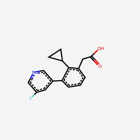 O=C(O)Cc1cccc(-c2cncc(F)c2)c1C1CC1